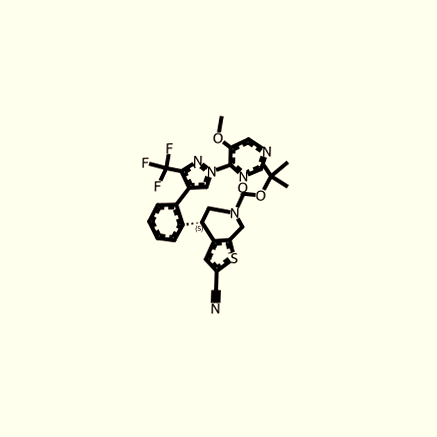 COc1cncnc1-n1cc(-c2ccccc2[C@@H]2CN(C(=O)OC(C)(C)C)Cc3sc(C#N)cc32)c(C(F)(F)F)n1